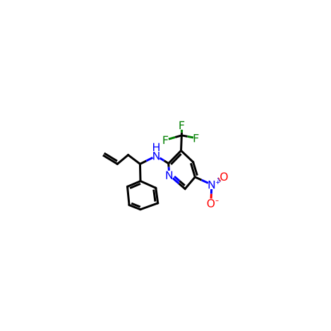 C=CCC(Nc1ncc([N+](=O)[O-])cc1C(F)(F)F)c1ccccc1